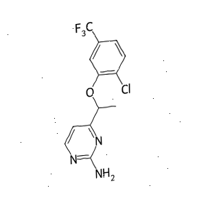 CC(Oc1cc(C(F)(F)F)ccc1Cl)c1ccnc(N)n1